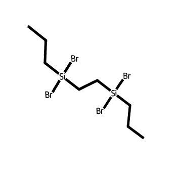 CCC[Si](Br)(Br)CC[Si](Br)(Br)CCC